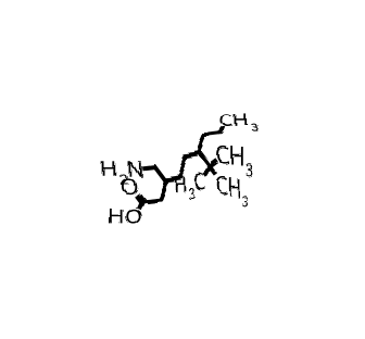 CCCC(CCC(CN)CC(=O)O)C(C)(C)C